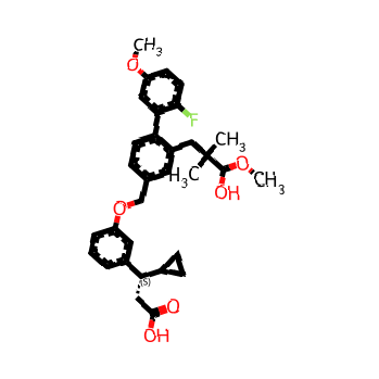 COc1ccc(F)c(-c2ccc(COc3cccc([C@@H](CC(=O)O)C4CC4)c3)cc2CC(C)(C)C(O)OC)c1